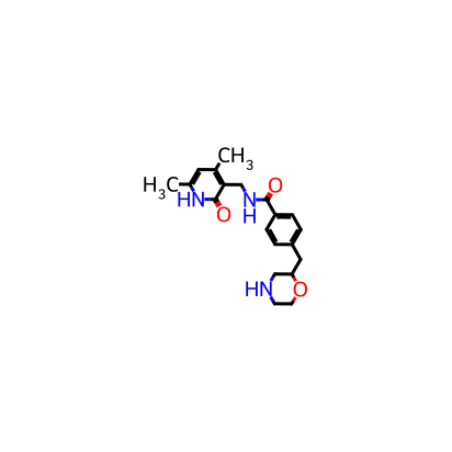 Cc1cc(C)c(CNC(=O)c2ccc(CC3CNCCO3)cc2)c(=O)[nH]1